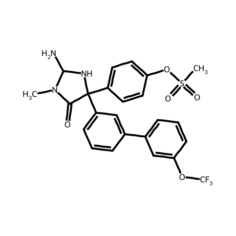 CN1C(=O)C(c2ccc(OS(C)(=O)=O)cc2)(c2cccc(-c3cccc(OC(F)(F)F)c3)c2)NC1N